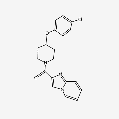 O=C(c1cn2ccccc2n1)N1CCC(Oc2ccc(Cl)cc2)CC1